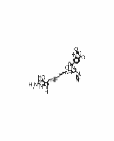 Cn1c(=O)oc(=O)c2ccc(C(=O)N3CC(N=[N+]=[N-])C[C@H]3C(=O)NCCOCCNCc3c[nH]c4nc(N)[nH]c(=O)c34)cc21